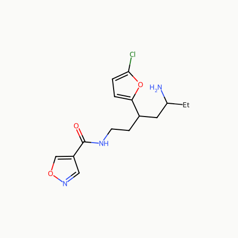 CCC(N)CC(CCNC(=O)c1cnoc1)c1ccc(Cl)o1